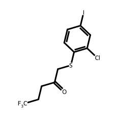 O=C(CCC(F)(F)F)CSc1ccc(I)cc1Cl